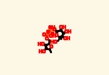 CC1OC(COP(=O)(O)OP(=O)(O)O[C@@H]2O[C@@H](CO)[C@@H](O)[C@@H](O)[C@@H]2O)[C@@H](O)[C@H]1O